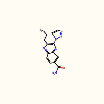 CCCc1nc2ccc(C(N)=O)cc2nc1-n1ccnn1